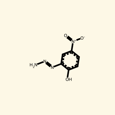 NN=Nc1cc([N+](=O)[O-])ccc1O